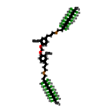 COc1cc(CCCSCCC(F)(F)C(F)(F)C(F)(F)C(F)(F)C(F)(F)C(F)(F)C(F)(F)C(F)(F)F)ccc1OCOc1ccc(CCCSCCC(F)(F)C(F)(F)C(F)(F)C(F)(F)C(F)(F)C(F)(F)C(F)(F)C(F)(F)F)cc1OC